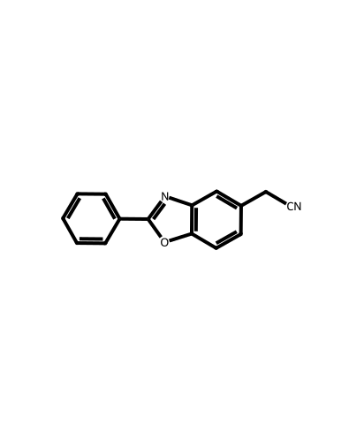 N#CCc1ccc2oc(-c3ccccc3)nc2c1